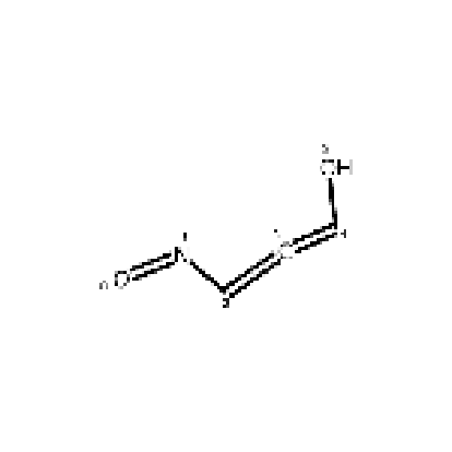 O=NC=C=CO